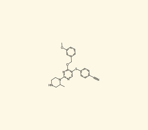 COc1cccc(COc2nc(N3CCNCC3C)ncc2Sc2ccc(C#N)cc2)c1